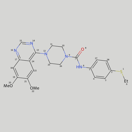 CCSc1ccc(NC(=O)N2CCN(c3ncnc4cc(OC)c(OC)cc34)CC2)cc1